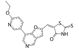 CCOc1ccc(-c2cncc3cc(C=C4SC(=S)NC4=O)oc23)cn1